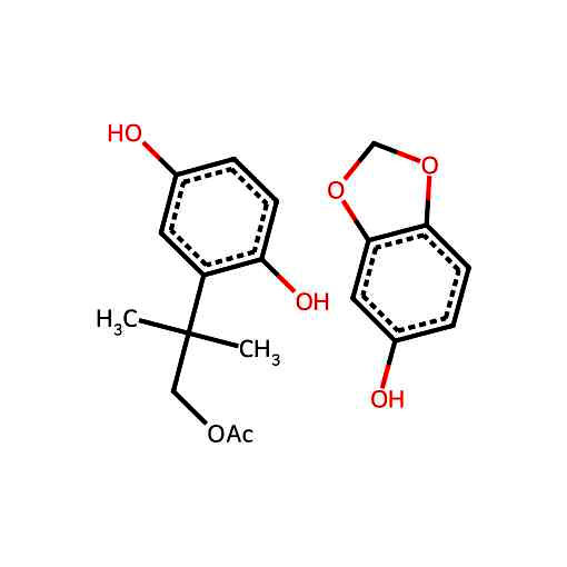 CC(=O)OCC(C)(C)c1cc(O)ccc1O.Oc1ccc2c(c1)OCO2